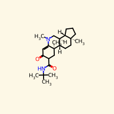 CN1C[C@H]2[C@@H]3CCC[C@@]3(C)CC[C@@H]2[C@@]2(C)CC(C(=O)NC(C)(C)C)C(=O)C=C12